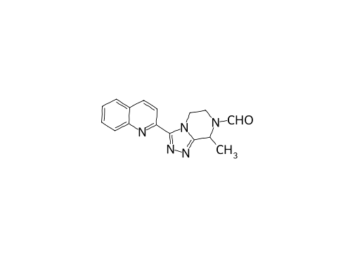 CC1c2nnc(-c3ccc4ccccc4n3)n2CCN1C=O